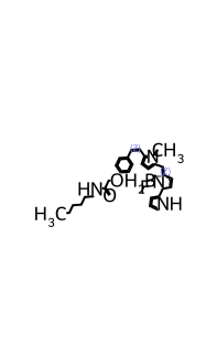 CCCCCCNC(=O)COc1ccc(/C=C\c2ccc(/C=C3/C=CC(c4ccc[nH]4)=[N+]3[BH2-]F)n2C)cc1